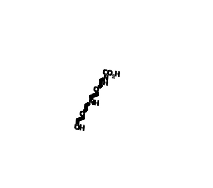 O=C(O)NCCOCCNCCOCCO